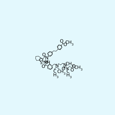 CCC(CC)N(CCCN(C)C(=O)[C@H](C)CC(=O)OC)Cc1cccc(C(=O)Nc2sc3c(c2C(=O)Nc2ccc(CCc4ccc(C(=O)OC)cc4)cc2)CCCC3)c1